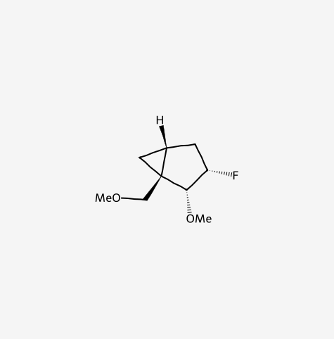 COC[C@@]12C[C@@H]1C[C@H](F)[C@@H]2OC